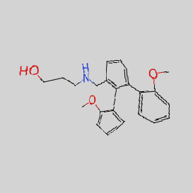 COc1ccccc1-c1cccc(CNCCCO)c1-c1ccccc1OC